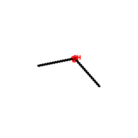 CCCCCCCCCCCCCCCCCCCCCCCCCCCCOP(=O)(O)OCCCCCCCCCCCCCCCCCCCCCCCCCCCC